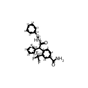 NC(=O)c1ccc(C(C(=O)NCc2ccccc2)c2cccs2)c(C(F)(F)F)c1